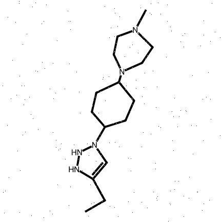 CCC1=CN(C2CCC(N3CCN(C)CC3)CC2)NN1